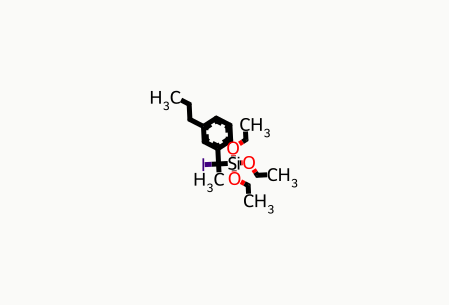 CCCc1cccc(C(C)(I)[Si](OCC)(OCC)OCC)c1